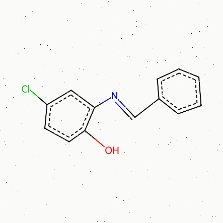 Oc1ccc(Cl)cc1N=Cc1ccccc1